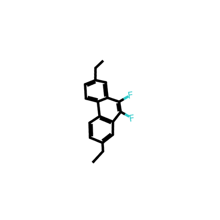 CCc1ccc2c(c1)c(F)c(F)c1cc(CC)ccc12